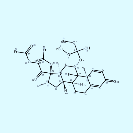 CCCCOC(O)(OCCCC)O[C@H]1C[C@@]2(C)[C@@H](C[C@H](C)[C@]2(OC(=O)CC)C(=O)COC(=O)CC)[C@@H]2CCC3=CC(=O)C=C[C@]3(C)C12F